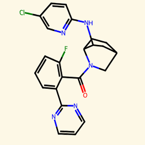 O=C(c1c(F)cccc1-c1ncccn1)N1CC2CCC1C(Nc1ccc(Cl)cn1)C2